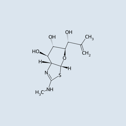 C=C(C)[C@@H](O)[C@H]1O[C@@H]2SC(NC)=N[C@@H]2[C@@H](O)[C@@H]1O